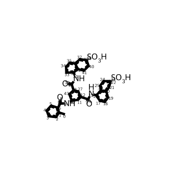 Cc1ccccc1C(=O)Nc1cc(C(=O)Nc2cccc3cc(S(=O)(=O)O)ccc23)cc(C(=O)Nc2cccc3cc(S(=O)(=O)O)ccc23)c1